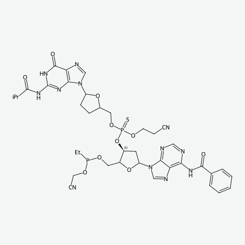 CCP(OCC#N)OCC1OC(n2cnc3c(NC(=O)c4ccccc4)ncnc32)C[C@@H]1OP(=S)(OCCC#N)OCC1CCC(n2cnc3c(=O)[nH]c(NC(=O)C(C)C)nc32)O1